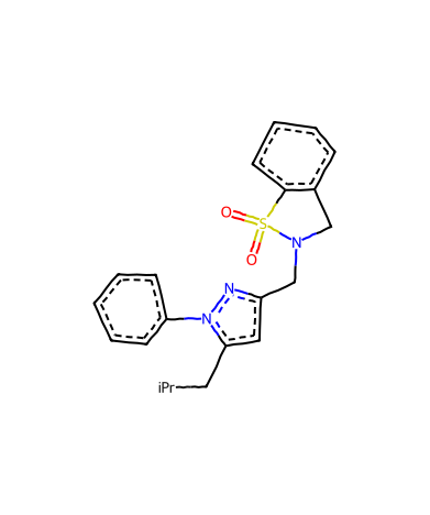 CC(C)Cc1cc(CN2Cc3ccccc3S2(=O)=O)nn1-c1ccccc1